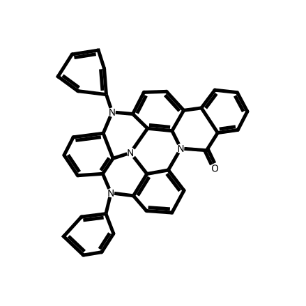 O=c1c2ccccc2c2ccc3c4c2n1c1cccc2c1-n4c1c(cccc1n3-c1ccccc1)n2-c1ccccc1